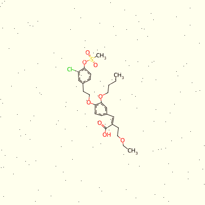 CCCCOc1cc(/C=C(/CCOCC)C(=O)O)ccc1OCCc1ccc(OS(C)(=O)=O)c(Cl)c1